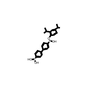 CC(C)c1ccc(OP(O)c2ccc(-c3ccc(P(O)O)cc3)cc2)c(C(C)C)c1